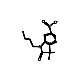 CCCCN1C(=O)C(C)(C)c2ccc([N+](=O)[O-])cc21